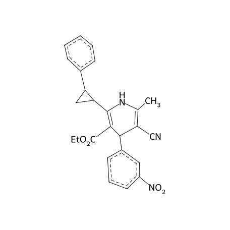 CCOC(=O)C1=C(C2CC2c2ccccc2)NC(C)=C(C#N)C1c1cccc([N+](=O)[O-])c1